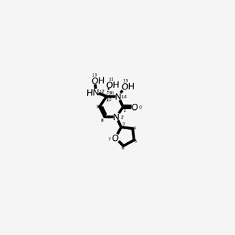 O=C1N(C2CC[CH]O2)C=C[C@@](O)(NO)N1O